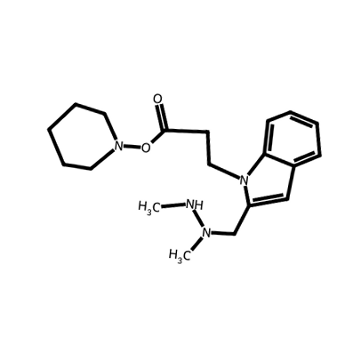 CNN(C)Cc1cc2ccccc2n1CCC(=O)ON1CCCCC1